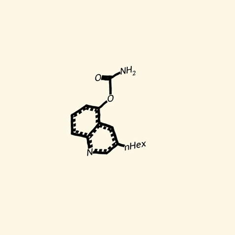 CCCCCCc1cnc2cccc(OC(N)=O)c2c1